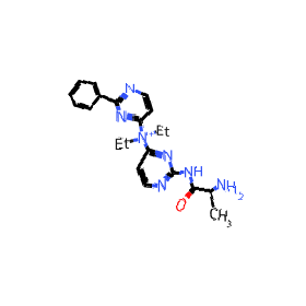 CC[N+](CC)(c1ccnc(NC(=O)[C@H](C)N)n1)c1ccnc(-c2ccccc2)n1